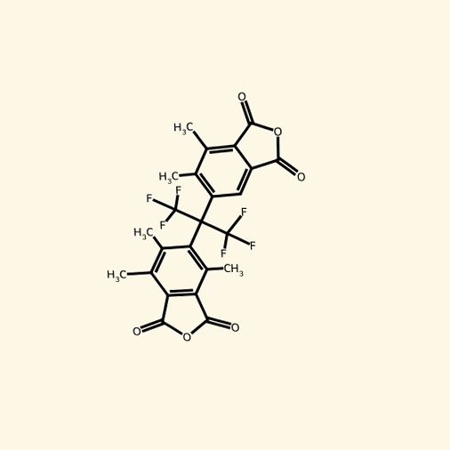 Cc1c(C(c2c(C)c(C)c3c(c2C)C(=O)OC3=O)(C(F)(F)F)C(F)(F)F)cc2c(c1C)C(=O)OC2=O